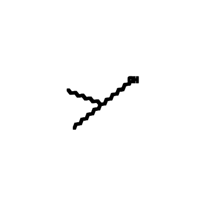 CCCCCCCCCC(CCCCC/C=C/CCO)CCCCCCCCC